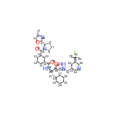 Cc1coc(C2CCCN2C(=O)c2cccc(C(=O)N[C@@H](Cc3ccccc3)[C@H](O)CNCc3cncc(C(C)(C)F)c3)c2)n1